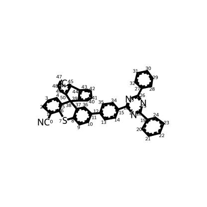 N#Cc1cccc2c1Sc1ccc(-c3ccc(-c4nc(-c5ccccc5)nc(-c5ccccc5)n4)cc3)cc1C21c2ccccc2-c2ccccc21